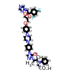 CC(C(C)n1ncn(-c2ccc(N3CCN(c4ccc(OCC5COC(Cn6cncn6)(c6ccc(F)cc6F)O5)cc4)CC3)cc2)c1=O)N(CC(=O)O)c1ccccc1